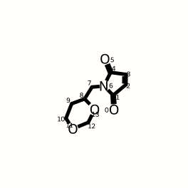 O=C1C=CC(=O)N1CC1CCOCO1